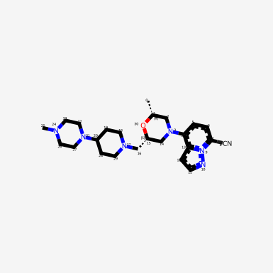 C[C@@H]1CN(c2ccc(C#N)n3nccc23)C[C@H](CN2CCC(N3CCN(C)CC3)CC2)O1